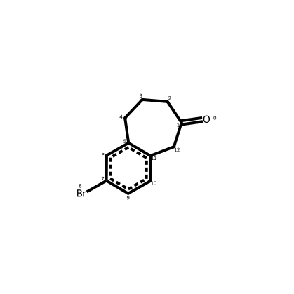 O=C1CCCc2cc(Br)ccc2C1